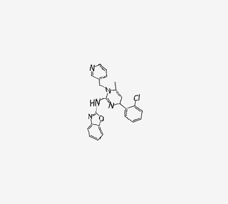 CC1=CC(c2ccccc2Cl)N=C(Nc2nc3ccccc3o2)N1Cc1cccnc1